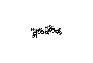 COc1ccc(C(O)C(C)Oc2ccc([C@H]3NC(c4ccc(O[C@H](C)[C@H](O)c5ccc(OC)c(OC)c5)c(OC)c4)C(C)[C@H]3C)cc2OC)cc1I